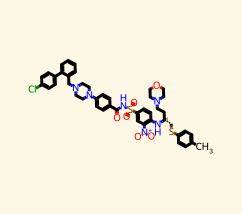 Cc1ccc(SC[C@@H](CCN2CCOCC2)Nc2ccc(S(=O)(=O)NC(=O)c3ccc(N4CCN(Cc5ccccc5-c5ccc(Cl)cc5)CC4)cc3)cc2[N+](=O)[O-])cc1